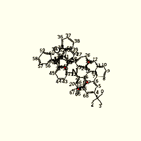 CC(C)(C)c1cc(-c2cccc3cccc(-c4ccccc4N(c4ccccc4-c4cccc5oc6ccccc6c45)c4cccc5c4c4ccccc4n5-c4ccccc4)c23)cc(C(C)(C)C)c1